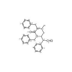 CC(CCC(C=O)c1ccccc1)N(Cc1ccccc1)C(=O)OCc1ccccc1